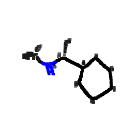 CCCN[C@H](C)C1CCCCC1